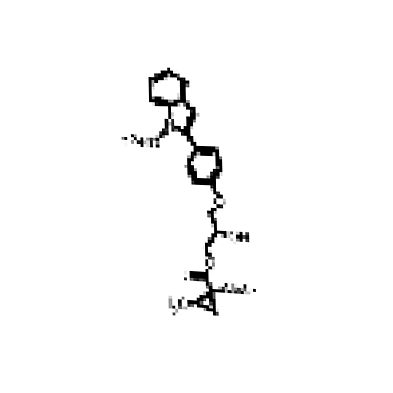 CCCCCn1c(-c2ccc(OCC(O)COC(=O)C3(NC)CC3C)cc2)cc2ccccc21